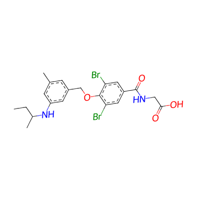 CCC(C)Nc1cc(C)cc(COc2c(Br)cc(C(=O)NCC(=O)O)cc2Br)c1